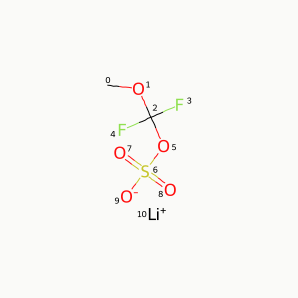 COC(F)(F)OS(=O)(=O)[O-].[Li+]